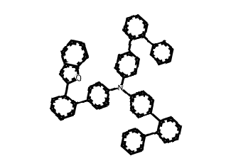 c1ccc(-c2ccccc2-c2ccc(N(c3ccc(-c4ccccc4-c4ccccc4)cc3)c3ccc(-c4ccccc4-c4cc5ccccc5o4)cc3)cc2)cc1